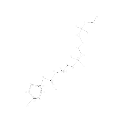 CCCC(C)(C)OCCOC(C)(C)CCNCC(=O)Cc1ccc(C)cc1